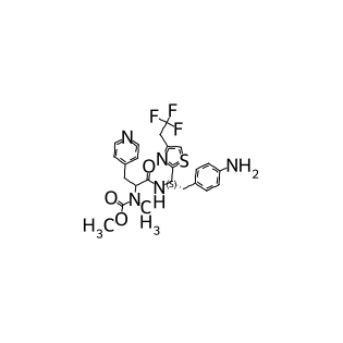 COC(=O)N(C)C(Cc1ccncc1)C(=O)N[C@@H](Cc1ccc(N)cc1)c1nc(CC(F)(F)F)cs1